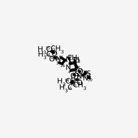 CN(c1ncc(S(=O)(=O)N(C(=O)OC(C)(C)C)c2cscn2)cc1Cl)C1CCN(C(=O)OC(C)(C)C)C1